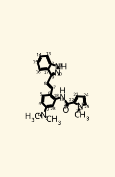 CN(C)c1ccc(C=Cc2n[nH]c3ccccc23)c(NC(=O)c2cccn2C)c1